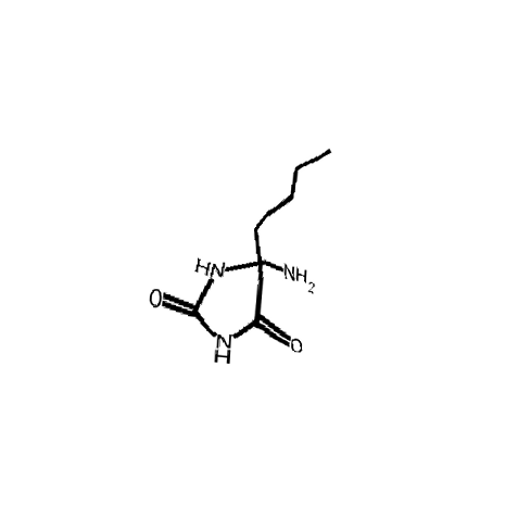 CCCCC1(N)NC(=O)NC1=O